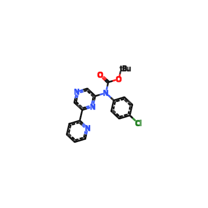 CC(C)(C)OC(=O)N(c1ccc(Cl)cc1)c1cncc(-c2ccccn2)n1